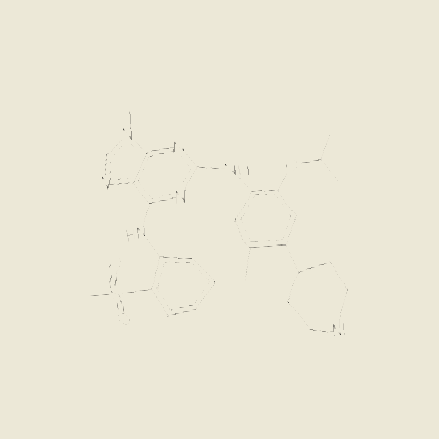 Cc1cc(Nc2nc(Nc3ccccc3S(C)(=O)=O)c3nc[nH]c3n2)c(OC(C)C)cc1C1CCNCC1